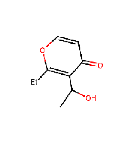 CCc1occc(=O)c1C(C)O